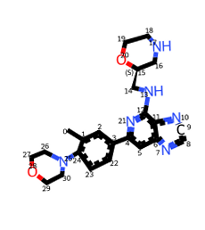 Cc1cc(-c2cc3nccnc3c(NC[C@@H]3CNCCO3)n2)ccc1N1CCOCC1